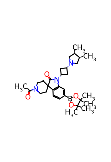 CC(=O)N1CCC2(CC1)C(=O)N([C@H]1C[C@@H](N3C[C@@H](C)[C@@H](C)C3)C1)c1cc(B3OC(C)(C)C(C)(C)O3)ccc12